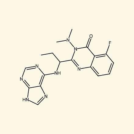 CCC(Nc1ncnc2[nH]cnc12)c1nc2cccc(F)c2c(=O)n1N(C)C